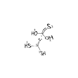 OC(O)=S.S=C(S)S